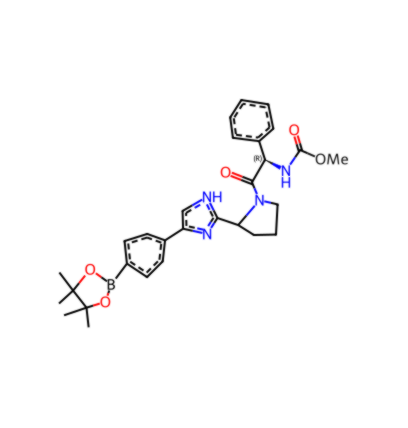 COC(=O)N[C@@H](C(=O)N1CCCC1c1nc(-c2ccc(B3OC(C)(C)C(C)(C)O3)cc2)c[nH]1)c1ccccc1